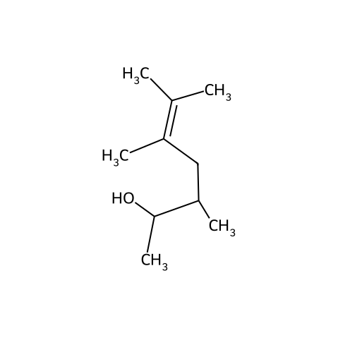 CC(C)=C(C)CC(C)C(C)O